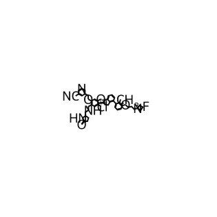 Cc1c(OCCCN2CC(F)C2)cccc1-c1cccc2c1CC[C@@H]2Oc1cc(OCc2cncc(C#N)c2)c(CNCC2CCC(=O)N2)cc1Cl